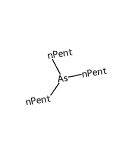 CCCCC[As](CCCCC)CCCCC